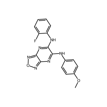 COc1ccc(Nc2nc3nonc3nc2Nc2ccccc2F)cc1